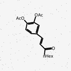 CCCCCCC(=O)/C=C/c1ccc(OC(C)=O)c(OC(C)=O)c1